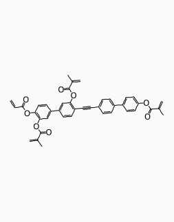 C=CC(=O)Oc1ccc(-c2ccc(C#Cc3ccc(-c4ccc(OC(=O)C(=C)C)cc4)cc3)c(OC(=O)C(=C)C)c2)cc1OC(=O)C(=C)C